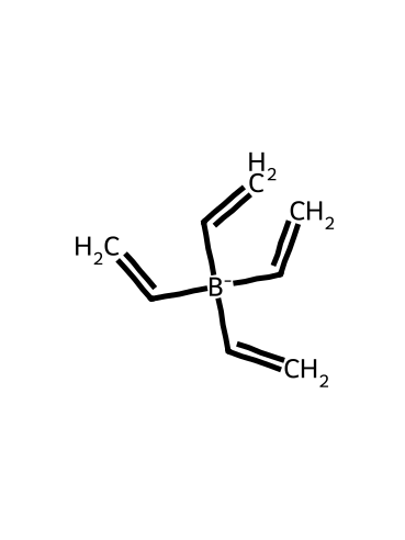 C=C[B-](C=C)(C=C)C=C